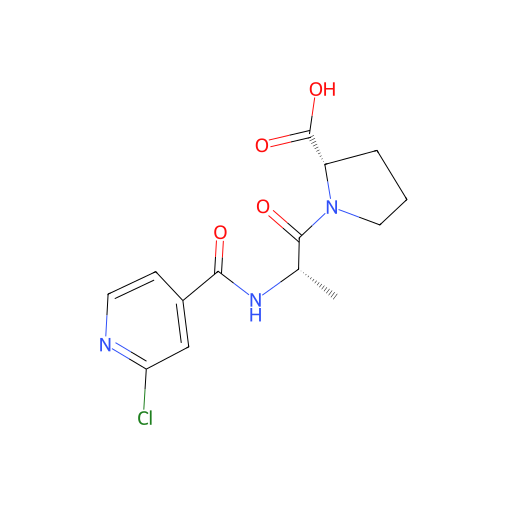 C[C@H](NC(=O)c1ccnc(Cl)c1)C(=O)N1CCC[C@H]1C(=O)O